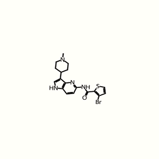 CN1CCC(c2c[nH]c3ccc(NC(=O)c4sccc4Br)nc23)CC1